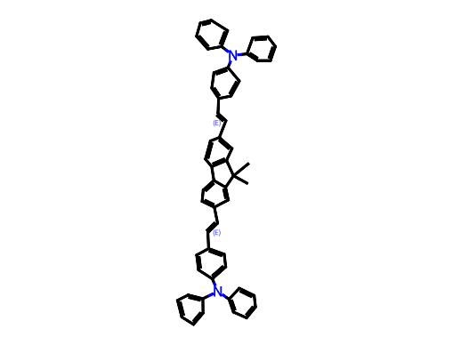 CC1(C)c2cc(/C=C/c3ccc(N(c4ccccc4)c4ccccc4)cc3)ccc2-c2ccc(/C=C/c3ccc(N(c4ccccc4)c4ccccc4)cc3)cc21